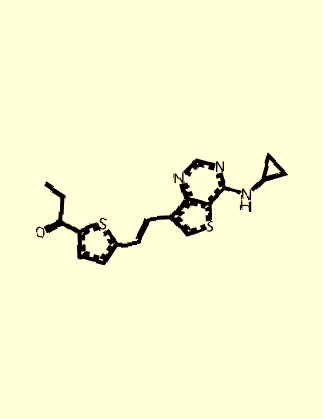 CCC(=O)c1ccc(/C=C/c2csc3c(NC4CC4)ncnc23)s1